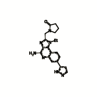 CCn1c(CN2CCCC2=O)nc2c(N)nc3cc(-c4ccn[nH]4)ccc3c21